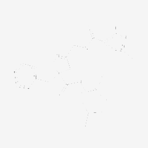 Cc1nc(C)c(C(=O)NCC2=NOC(Cc3ccccc3)(C(=O)N[C@@H](CC(C)C)B(O)O)C2)s1